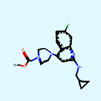 CC(C)(C)OC(=O)N1CCN(c2cc(NCC3CC3)nc3cc(Cl)ccc23)CC1